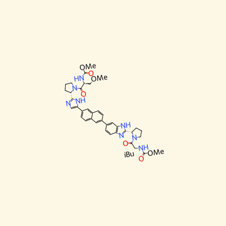 CC[C@H](C)C(NC(=O)OC)C(=O)N1CCC[C@H]1c1nc2ccc(-c3ccc4cc(-c5cnc([C@@H]6CCCN6C(=O)[C@H](COC)NC(=O)OC)[nH]5)ccc4c3)cc2[nH]1